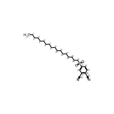 CCCCCCCCCCCCCCCCCCS(=O)(=O)c1ccc(C#N)c(C#N)c1